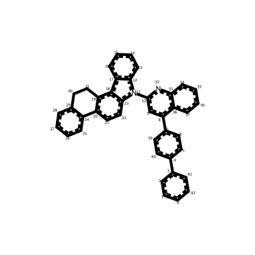 c1ccc(-c2ccc(-c3cc(-n4c5ccccc5c5c6c(ccc54)-c4ccccc4CC6)nc4ccccc34)cc2)cc1